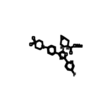 COC(=O)[C@@H]1CC2CC2C[C@H]1c1oc(-c2ccc(F)cn2)nc1-c1ccc(N2CCS(=O)(=O)CC2)cc1